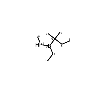 CCB(PC)C(C)(C)CC